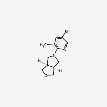 Cc1cc(Br)cnc1N1C[C@H]2COC[C@H]2C1